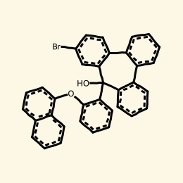 OC1(c2ccccc2Oc2cccc3ccccc23)c2ccccc2-c2ccccc2-c2ccc(Br)cc21